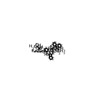 C[C@@H]1Cc2c([nH]c3ccccc23)[C@@H](c2c(F)ccc(OCCN(CCCF)C(=O)OC(C)(C)C)c2F)N1CC(F)(F)CO[Si](c1ccccc1)(c1ccccc1)C(C)(C)C